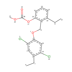 CCc1cc(Cl)c(OCc2c(CC)cccc2OC(=O)OC)cc1Cl